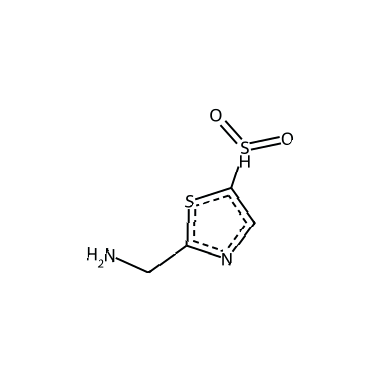 NCc1ncc([SH](=O)=O)s1